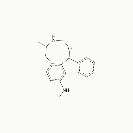 CNc1ccc2c(c1)C(c1ccccc1)OCNC(C)C2